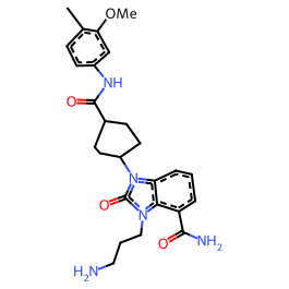 COc1cc(NC(=O)C2CCC(n3c(=O)n(CCCN)c4c(C(N)=O)cccc43)CC2)ccc1C